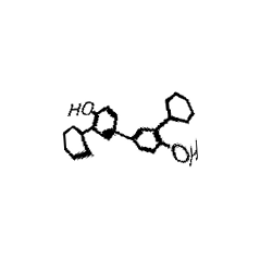 Oc1ccc(-c2ccc(O)c(C3CCCCC3)c2)cc1C1CCCCC1